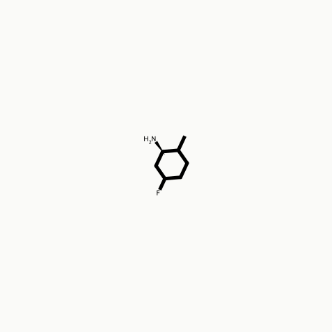 CC1CCC(F)C[C@H]1N